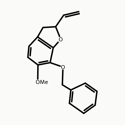 C=CC1Cc2ccc(OC)c(OCc3ccccc3)c2O1